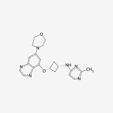 Cc1nccc(N[C@H]2C[C@@H](Oc3cc(N4CCOCC4)cc4nccnc34)C2)n1